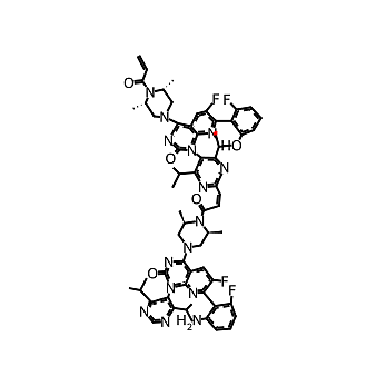 C=CC(=O)N1[C@H](C)CN(c2nc(=O)n(-c3c(C(C)C)nc(/C=C\C(=O)N4[C@H](C)CN(c5nc(=O)n(-c6c(C(C)C)ncnc6C(C)C)c6nc(-c7c(N)cccc7F)c(F)cc56)C[C@@H]4C)nc3C(C)C)c3nc(-c4c(O)cccc4F)c(F)cc23)C[C@@H]1C